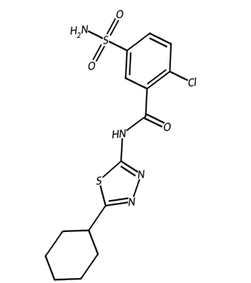 NS(=O)(=O)c1ccc(Cl)c(C(=O)Nc2nnc(C3CCCCC3)s2)c1